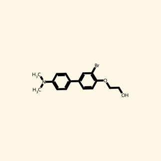 CN(C)c1ccc(-c2ccc(OCCO)c(Br)c2)cc1